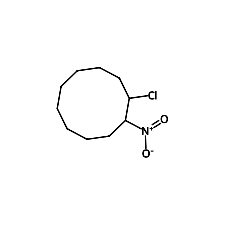 O=[N+]([O-])C1CCCCCCCCC1Cl